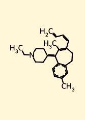 C=C/C=C\C1=C(C)C(=C2CCN(CC)CC2)c2ccc(C)cc2CC1